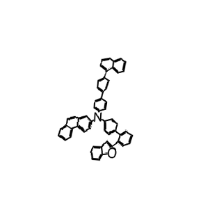 c1ccc(-c2cc3ccccc3o2)c(-c2ccc(N(c3ccc(-c4ccc(-c5cccc6ccccc56)cc4)cc3)c3ccc4c(ccc5ccccc54)c3)cc2)c1